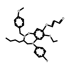 CCCCC1CN(c2ccc(F)cc2)c2cc(SCC)c(O/C=C/C=O)cc2SN1Cc1ccc(OC)cc1